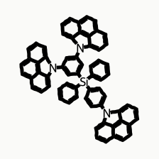 c1ccc([Si](c2ccccc2)(c2ccc(-n3c4cccc5ccc6cccc3c6c54)cc2)c2cc(-n3c4cccc5ccc6cccc3c6c54)cc(-n3c4cccc5ccc6cccc3c6c54)c2)cc1